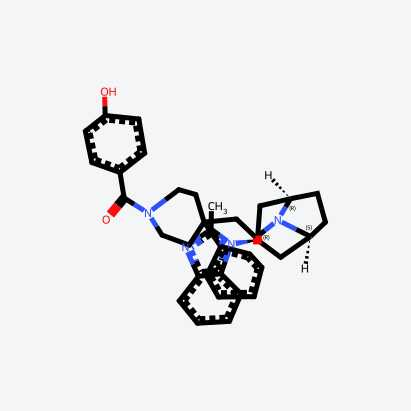 Cc1nc2ccccc2n1[C@H]1C[C@H]2CC[C@@H](C1)N2CCC1(c2ccccc2)CCN(C(=O)c2ccc(O)cc2)CC1